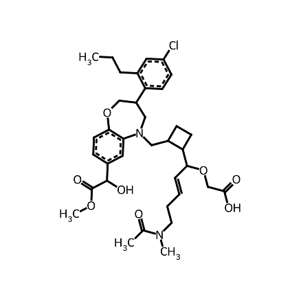 CCCc1cc(Cl)ccc1C1COc2ccc(C(O)C(=O)OC)cc2N(CC2CCC2C(/C=C/CCN(C)C(C)=O)OCC(=O)O)C1